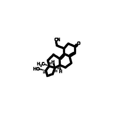 C[C@]12CCC3=C4C(=CC(=O)CC4CC#N)CC[C@H]3[C@@H]1CC[C@@H]2O